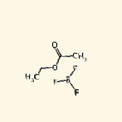 CCOC(C)=O.FB(F)F